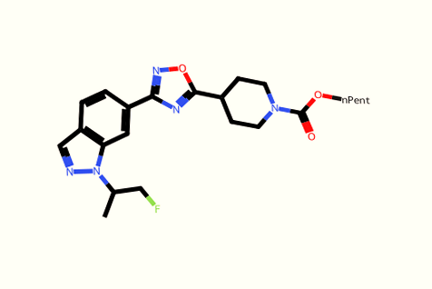 CCCCCOC(=O)N1CCC(c2nc(-c3ccc4cnn(C(C)CF)c4c3)no2)CC1